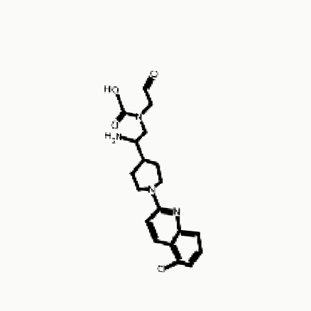 NC(CN(CC=O)C(=O)O)C1CCN(c2ccc3c(Cl)cccc3n2)CC1